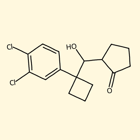 O=C1CCCC1C(O)C1(c2ccc(Cl)c(Cl)c2)CCC1